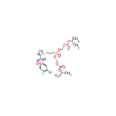 CC(C)OC(=O)OCOP(=O)(CCCSc1nonc1/C(=N/O)Nc1ccc(F)c(Br)c1)OCOC(=O)OC(C)C